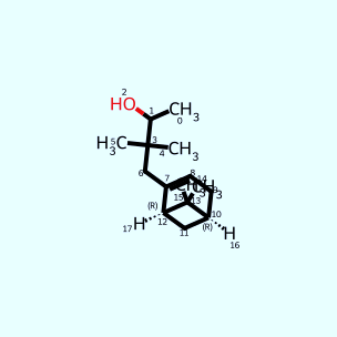 CC(O)C(C)(C)CC1=CC[C@H]2C[C@@H]1C2(C)C